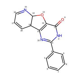 O=c1[nH]c(-c2ccccc2)nc2c1OC1N=CC=CC21